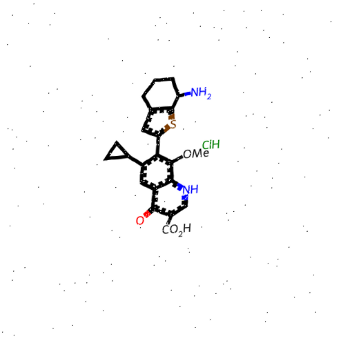 COc1c(-c2cc3c(s2)C(N)CCC3)c(C2CC2)cc2c(=O)c(C(=O)O)c[nH]c12.Cl